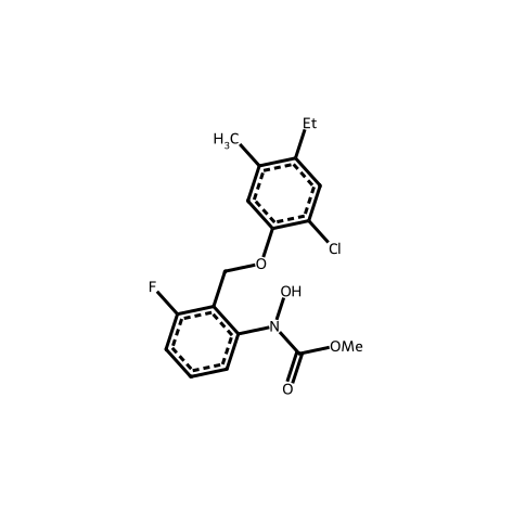 CCc1cc(Cl)c(OCc2c(F)cccc2N(O)C(=O)OC)cc1C